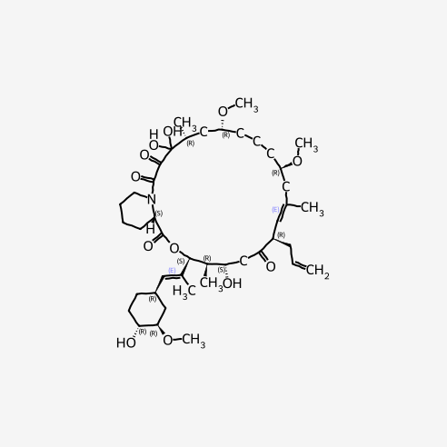 C=CC[C@@H]1/C=C(\C)C[C@H](OC)CCC[C@@H](OC)C[C@@H](C)C(O)(O)C(=O)C(=O)N2CCCC[C@H]2C(=O)O[C@H](/C(C)=C/[C@@H]2CC[C@@H](O)[C@H](OC)C2)[C@H](C)[C@@H](O)CC1=O